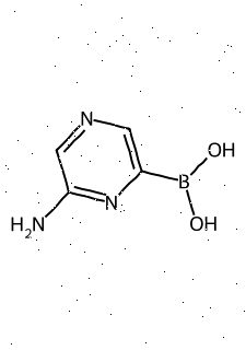 Nc1cncc(B(O)O)n1